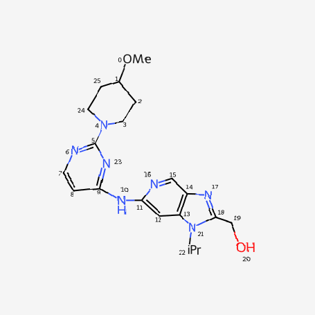 COC1CCN(c2nccc(Nc3cc4c(cn3)nc(CO)n4C(C)C)n2)CC1